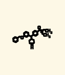 CCN(CC)C(=O)c1ccc(C(=C2CCNCC2)c2cccc(OCc3ccccc3)c2)cc1